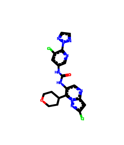 O=C(Nc1cnc(-n2nccn2)c(Cl)c1)Nc1cnc2cc(Cl)nn2c1C1CCOCC1